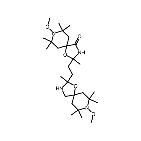 CON1C(C)(C)CC2(CNC(C)(CCC3(C)NC(=O)C4(CC(C)(C)N(OC)C(C)(C)C4)O3)O2)CC1(C)C